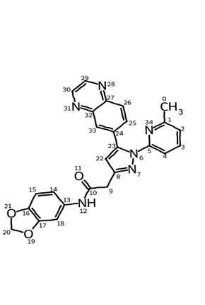 Cc1cccc(-n2nc(CC(=O)Nc3ccc4c(c3)OCO4)cc2-c2ccc3nccnc3c2)n1